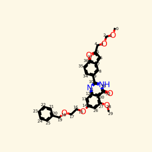 COCOCc1cc2cc(-c3nc4cc(OCCOCc5ccccc5)cc(OC)c4c(=O)[nH]3)ccc2o1